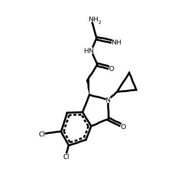 N=C(N)NC(=O)C[C@@H]1c2cc(Cl)c(Cl)cc2C(=O)N1C1CC1